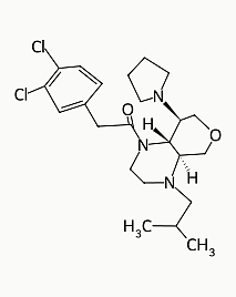 CC(C)CN1CCN(C(=O)Cc2ccc(Cl)c(Cl)c2)[C@H]2[C@H]1COC[C@@H]2N1CCCC1